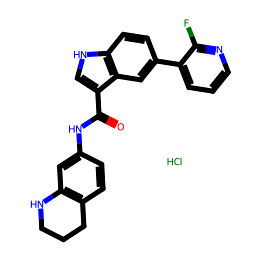 Cl.O=C(Nc1ccc2c(c1)NCCC2)c1c[nH]c2ccc(-c3cccnc3F)cc12